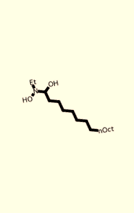 CCCCCCCCCCCCCCCC(O)N(O)CC